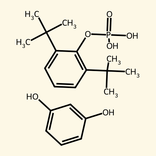 CC(C)(C)c1cccc(C(C)(C)C)c1OP(=O)(O)O.Oc1cccc(O)c1